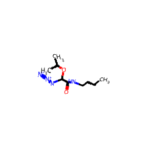 CCCCNC(=O)C(N=[N+]=[N-])OC(C)C